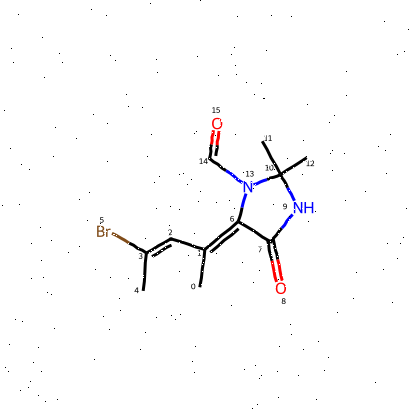 CC(/C=C(\C)Br)=C1\C(=O)NC(C)(C)N1C=O